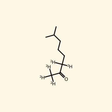 [2H]C([2H])([2H])C(=O)C([2H])([2H])CCCC(C)C